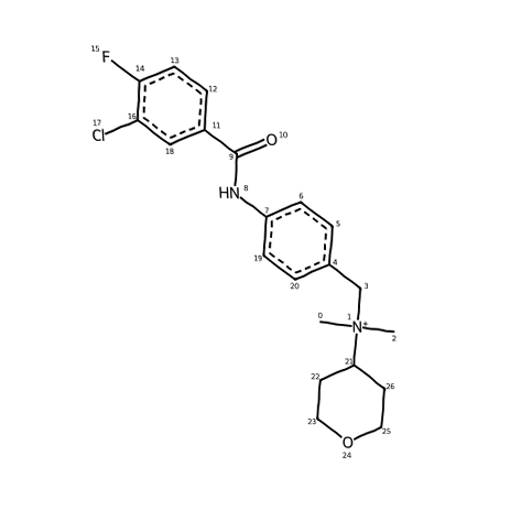 C[N+](C)(Cc1ccc(NC(=O)c2ccc(F)c(Cl)c2)cc1)C1CCOCC1